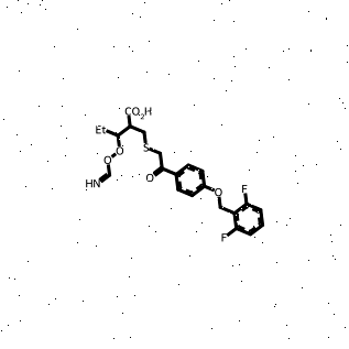 CCC(OOC=N)C(CSCC(=O)c1ccc(OCc2c(F)cccc2F)cc1)C(=O)O